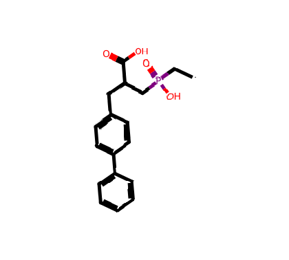 [CH2]CP(=O)(O)CC(Cc1ccc(-c2ccccc2)cc1)C(=O)O